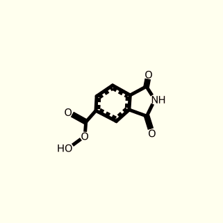 O=C(OO)c1ccc2c(c1)C(=O)NC2=O